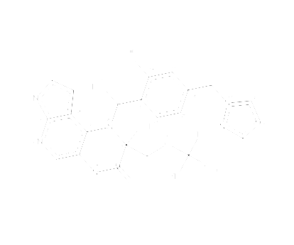 [2H]C([2H])([2H])OCC1(C)C(=O)Nc2cnc3[nH]ccc3c2N1C(O)c1ccc(Cn2cccn2)cc1Cl